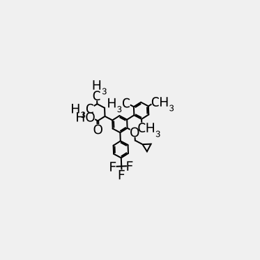 Cc1cc(C)c(-c2cc(C(CC(C)C)C(=O)O)cc(-c3ccc(C(F)(F)F)cc3)c2OCC2CC2)c(C)c1